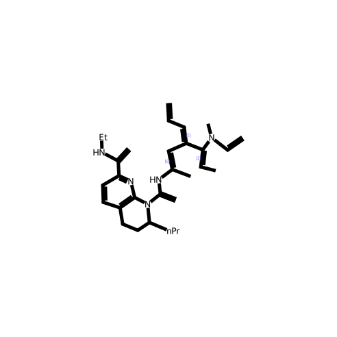 C=C/C=C(\C=C(/C)NC(=C)N1c2nc(C(=C)NCC)ccc2CCC1CCC)C(=C/C)/N(C)C=C